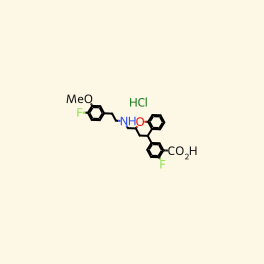 COc1cc(CCNCC2CC(c3ccc(F)c(C(=O)O)c3)c3ccccc3O2)ccc1F.Cl